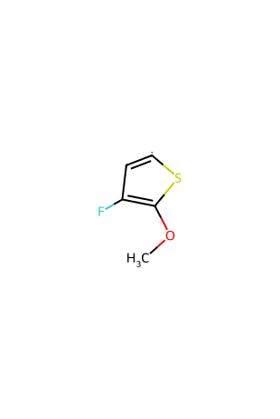 COc1s[c]cc1F